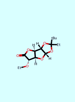 CCO[C@@H]1C(=O)O[C@H]2[C@@H]3OC(CC)(C(C)(C)C)O[C@@H]3O[C@H]21